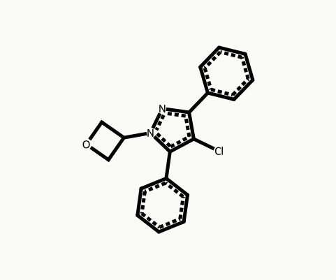 Clc1c(-c2ccccc2)nn(C2COC2)c1-c1ccccc1